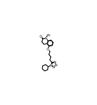 CC(C)N1C(=O)CCc2c(OCCCCc3nnnn3C3CCCCC3)cccc21